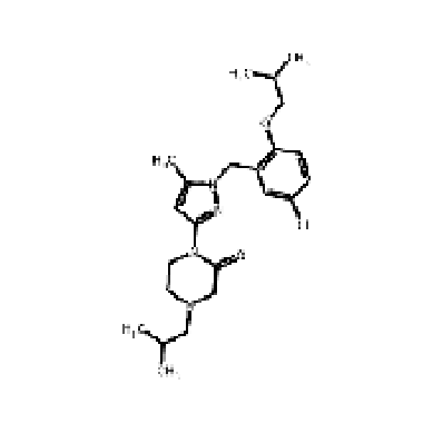 Cc1cc(N2CCN(CC(C)C)CC2=O)nn1Cc1cc(Cl)ccc1OCC(C)C